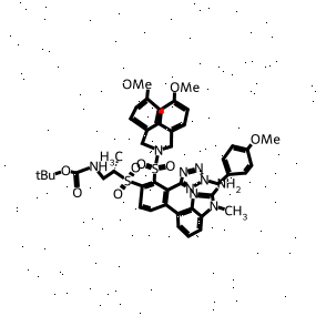 COc1ccc(CN(Cc2ccc(OC)cc2)S(=O)(=O)c2c(S(=O)(=O)[C@@H](C)CNC(=O)OC(C)(C)C)ccc(-c3cccc4c3nc(N)n4C)c2-c2nnn(Cc3ccc(OC)cc3)n2)cc1